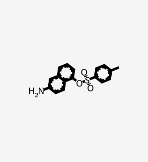 Cc1ccc(S(=O)(=O)Oc2cccc3cc(N)ccc23)cc1